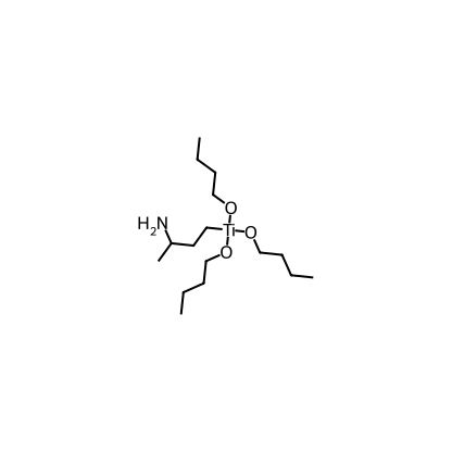 CCCC[O][Ti]([CH2]CC(C)N)([O]CCCC)[O]CCCC